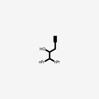 [C]#CCC(O)C(CCC)CCC